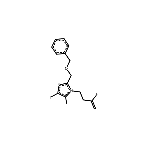 C=C(F)CCn1c(COCc2ccccc2)nc(I)c1I